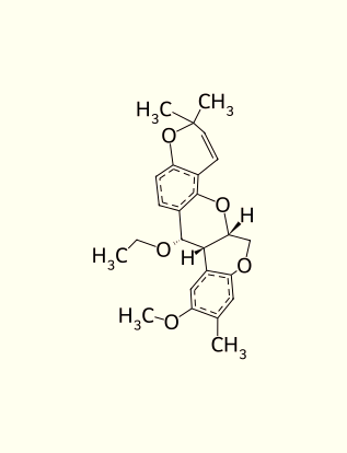 CCO[C@@H]1c2ccc3c(c2O[C@@H]2COc4cc(C)c(OC)cc4[C@H]12)C=CC(C)(C)O3